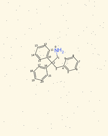 NCC(Cc1ccccc1)(c1ccccc1)c1ccccc1